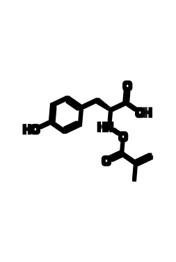 C=C(C)C(=O)ON[C@@H](Cc1ccc(O)cc1)C(=O)O